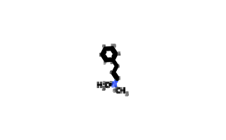 CN(C)C=CCc1ccccc1